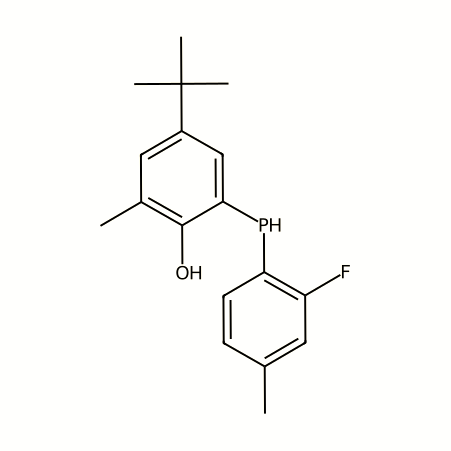 Cc1ccc(Pc2cc(C(C)(C)C)cc(C)c2O)c(F)c1